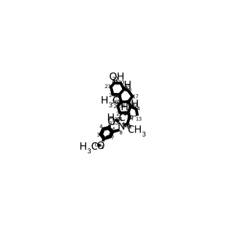 COc1ccc2c(c1)CN([C@@H](C)[C@H]1CC[C@H]3C4CC[C@H]5C[C@@H](O)CC[C@]5(C)[C@H]4CC[C@]13C)CO2